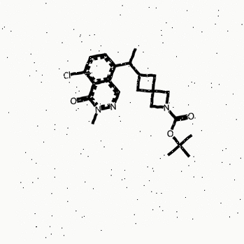 CC(c1ccc(Cl)c2c(=O)n(C)ncc12)C1CC2(C1)CN(C(=O)OC(C)(C)C)C2